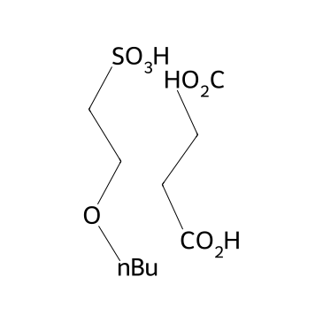 CCCCOCCS(=O)(=O)O.O=C(O)CCC(=O)O